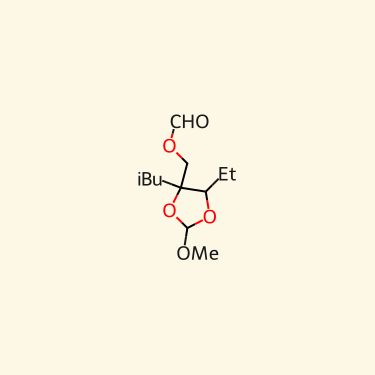 CCC(C)C1(COC=O)OC(OC)OC1CC